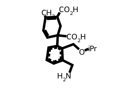 CC1=C(C(=O)O)CC(C(=O)O)(c2cccc(CN)c2COC(C)C)C=C1